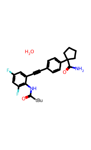 CC(C)(C)C(=O)Nc1c(F)cc(F)cc1C#Cc1ccc(C2(C(N)=O)CCCC2)cc1.O